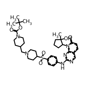 CC(C)(C)OC(=O)N1CCC(CN2CCC(S(=O)(=O)c3ccc(Nc4ncc5ccc(=O)n(C6CCCC6(C)O)c5n4)cc3)CC2)CC1